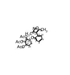 CC(=O)O[C@@H]1[C@@H](OC(C)=O)[C@@H](Oc2ccccc2-c2c(C)noc2C)SC[C@H]1OC(C)=O